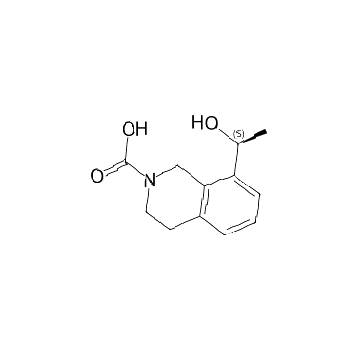 C[C@H](O)c1cccc2c1CN(C(=O)O)CC2